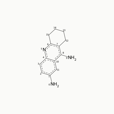 Nc1ccc2nc3c(c(N)c2c1)CCCC3